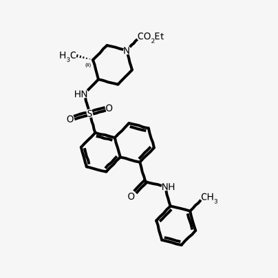 CCOC(=O)N1CCC(NS(=O)(=O)c2cccc3c(C(=O)Nc4ccccc4C)cccc23)[C@H](C)C1